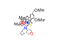 COCc1cc(OC)c(-c2csc3c(N(CC4CCC4)C4CCOCC4)c(OC)nn23)c(OC)c1.O=S(=O)(O)O